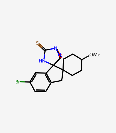 COC1CCC2(CC1)Cc1ccc(Br)cc1C21NC(=S)N2CCON=C21